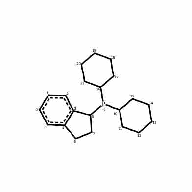 c1ccc2c(c1)CCC2P(C1CCCCC1)C1CCCCC1